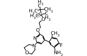 Cc1cc(F)c(N)cc1-c1cc(OCCO[Si](C)(C)C(C)(C)C)nc(N2CCOCC2)c1